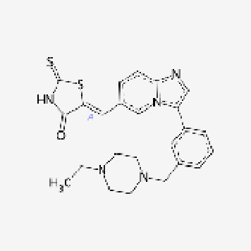 CCN1CCN(Cc2cccc(-c3cnc4ccc(/C=C5\SC(=S)NC5=O)cn34)c2)CC1